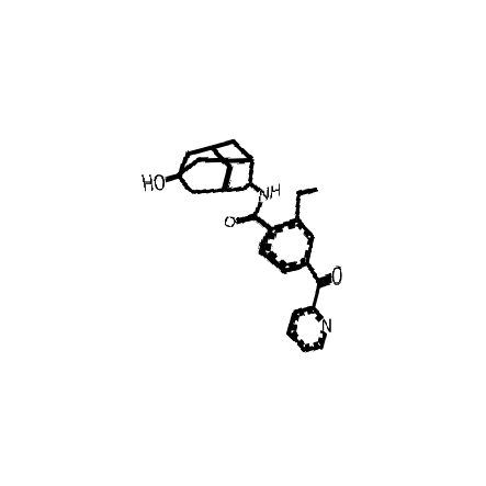 CCc1cc(C(=O)c2ccccn2)ccc1C(=O)NC1C2CC3CC1CC(O)(C3)C2